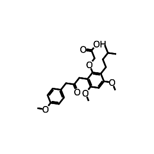 COc1ccc(CC(=O)Cc2c(OC)cc(OC)c(CCC(C)C)c2OCC(=O)O)cc1